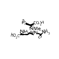 CN[C@H](C(=O)O)C(C)C.NC(=O)NCCC[C@H](N)C(=O)O